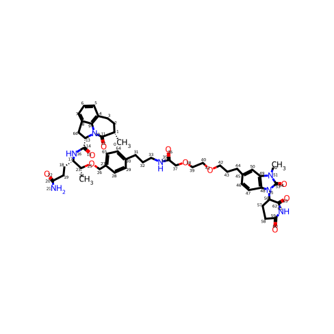 C[C@H]1CCc2cccc3c2N(C1=O)[C@H](C(=O)N[C@@H](CCC(N)=O)[C@@H](C)OCc1ccc(CCCNC(=O)COCCOCCCc2ccc4c(c2)n(C)c(=O)n4C2CCC(=O)NC2=O)cc1)C3